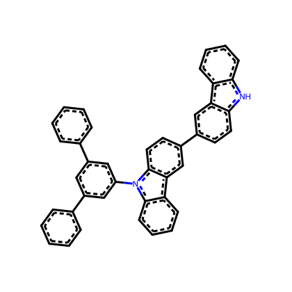 c1ccc(-c2cc(-c3ccccc3)cc(-n3c4ccccc4c4cc(-c5ccc6[nH]c7ccccc7c6c5)ccc43)c2)cc1